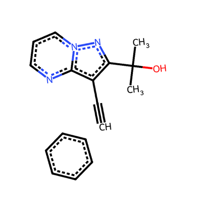 C#Cc1c(C(C)(C)O)nn2cccnc12.c1ccccc1